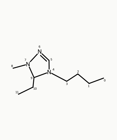 CCCCN1C=NN(C)C1CC